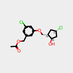 CC(=O)OCc1cc(Cl)cc(OC[C@@H]2C[C@H](Cl)C[C@H]2O)c1